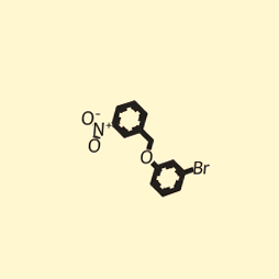 O=[N+]([O-])c1cccc(COc2cccc(Br)c2)c1